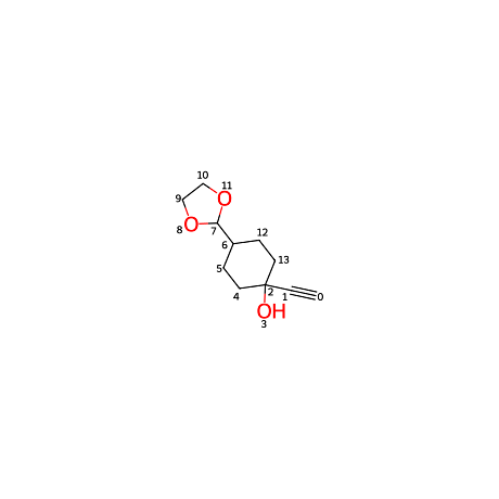 C#CC1(O)CCC(C2OCCO2)CC1